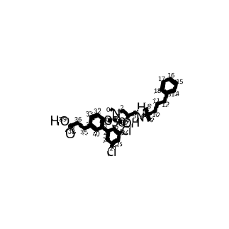 CN(CC(O)CNC(C)(C)CCCc1ccccc1)S(=O)(=O)c1c(Cl)cc(Cl)cc1-c1cccc(CCC(=O)O)c1